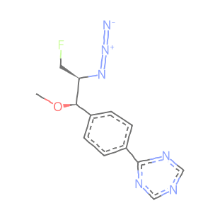 CO[C@H](c1ccc(-c2ncncn2)cc1)[C@@H](CF)N=[N+]=[N-]